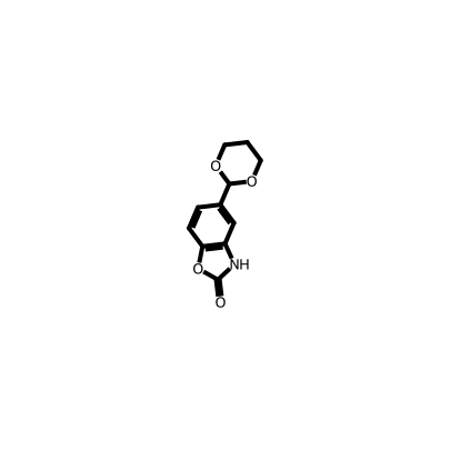 O=c1[nH]c2cc(C3OCCCO3)ccc2o1